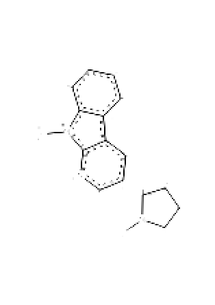 CN1CCC[C@H]1c1cnc2c(c1)c1ccccc1n2C